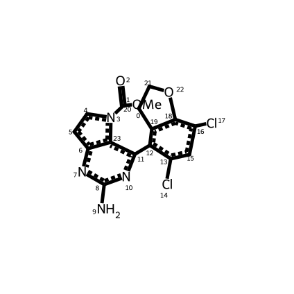 COC(=O)n1ccc2nc(N)nc(-c3c(Cl)cc(Cl)c4c3CCO4)c21